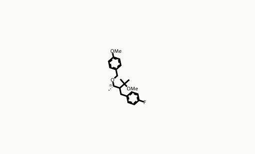 COc1ccc(CO[C@@H](C)C(Cc2ccc(F)cc2)C(C)(C)OC)cc1